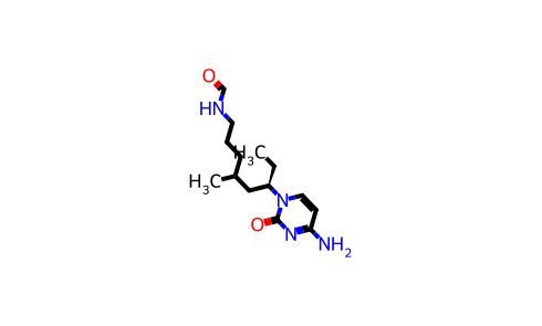 CC[C@H](CC(C)CCCNC=O)n1ccc(N)nc1=O